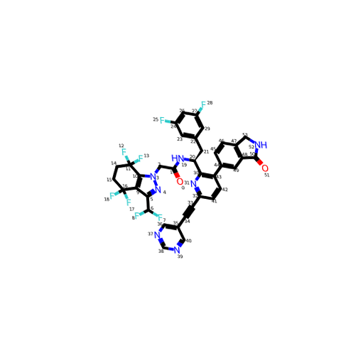 O=C(Cn1nc(C(F)F)c2c1C(F)(F)CCC2(F)F)N[C@@H](Cc1cc(F)cc(F)c1)c1nc(C#Cc2cncnc2)ccc1-c1ccc2c(c1)C(=O)NC2